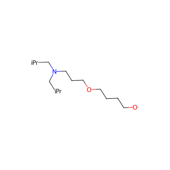 CC(C)CN(CCCOCCCC[O])CC(C)C